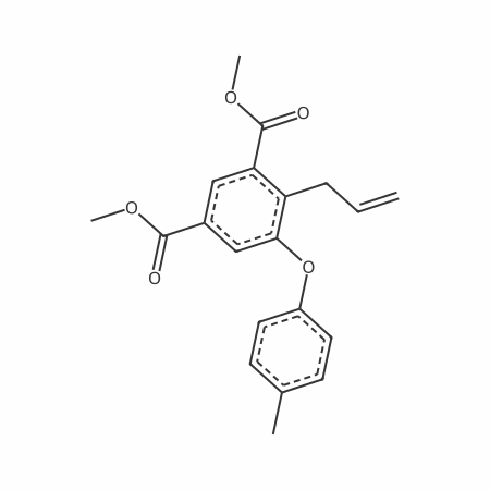 C=CCc1c(Oc2ccc(C)cc2)cc(C(=O)OC)cc1C(=O)OC